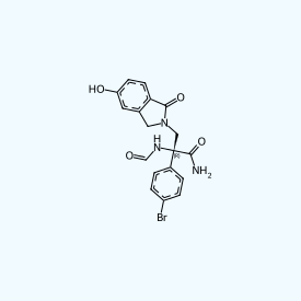 NC(=O)[C@@](CN1Cc2cc(O)ccc2C1=O)(NC=O)c1ccc(Br)cc1